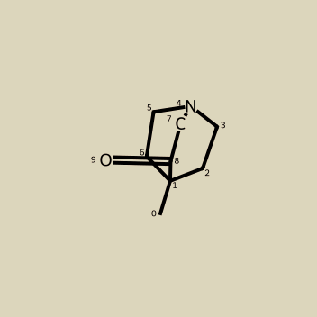 CC12CCN(CC1)CC2=O